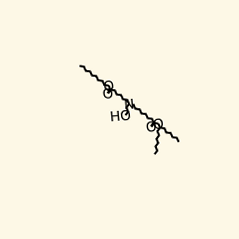 CCCCCCCCCOC(=O)CCCCCN(CCO)CCCCCCCC(=O)OC(CCCCCC)CCCCCCC